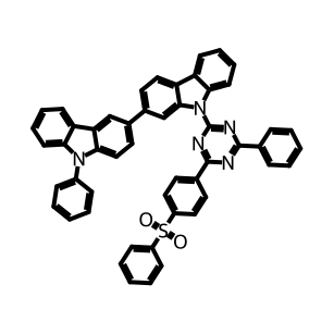 O=S(=O)(c1ccccc1)c1ccc(-c2nc(-c3ccccc3)nc(-n3c4ccccc4c4ccc(-c5ccc6c(c5)c5ccccc5n6-c5ccccc5)cc43)n2)cc1